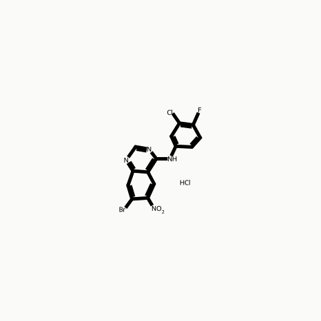 Cl.O=[N+]([O-])c1cc2c(Nc3ccc(F)c(Cl)c3)ncnc2cc1Br